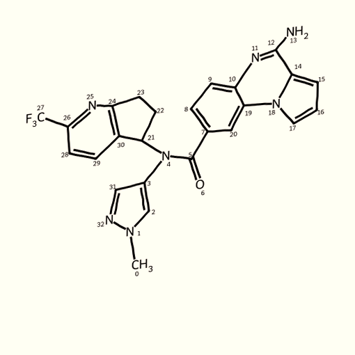 Cn1cc(N(C(=O)c2ccc3nc(N)c4cccn4c3c2)C2CCc3nc(C(F)(F)F)ccc32)cn1